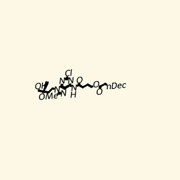 C#CC(CO)(CCn1cnc2c(NC(=O)CCCOC(=O)CCCCCCCCCCC)nc(Cl)nc21)OC